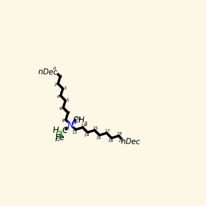 CCCCCCCCCCCCCCCCCC[N+](C)(C)CCCCCCCCCCCCCCCCCC.[Cl-].[Fe]